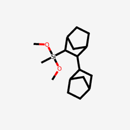 CO[Si](C)(OC)C1C2CCC(C2)C1C1CC2CCC1C2